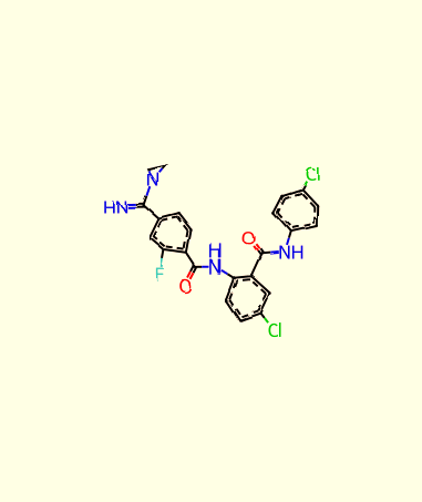 N=C(c1ccc(C(=O)Nc2ccc(Cl)cc2C(=O)Nc2ccc(Cl)cc2)c(F)c1)N1CC1